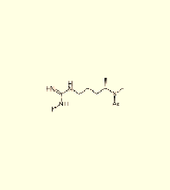 CC(=O)N(C)[C@H](C)CCCNC(=N)NI